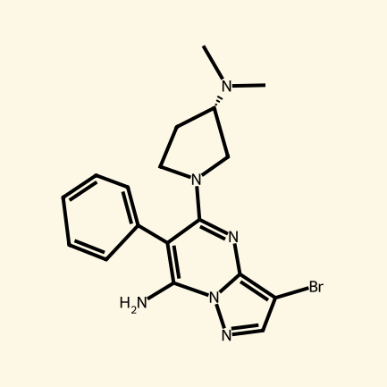 CN(C)[C@H]1CCN(c2nc3c(Br)cnn3c(N)c2-c2ccccc2)C1